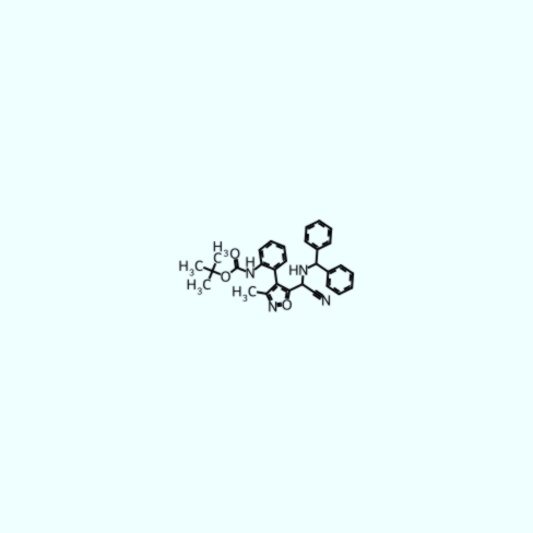 Cc1noc(C(C#N)NC(c2ccccc2)c2ccccc2)c1-c1ccccc1NC(=O)OC(C)(C)C